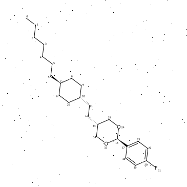 CCCCCCC[C@H]1CC[C@H](CC[C@H]2CO[C@H](c3ccc(F)cc3)OC2)CC1